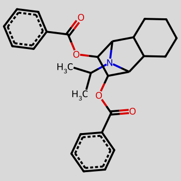 CC(C)N1C2C3CCCCC3C1C(OC(=O)c1ccccc1)C2OC(=O)c1ccccc1